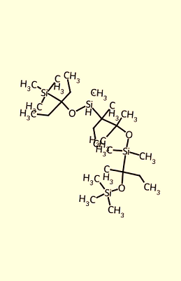 CCC(C)([SiH](C)OC(CC)(CC)[Si](C)(C)C)C(C)(C)O[Si](C)(C)C(C)(CC)O[Si](C)(C)C